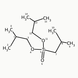 CC(C)C[O][Ti](=[O])([CH2]C(C)C)[O]CC(C)C